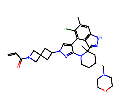 C=CC(=O)N1CC2(CC(n3cc(-c4c(Cl)c(C)cc5[nH]ncc45)c(N4CC[C@@H](CN5CCOCC5)CC4(C)C)n3)C2)C1